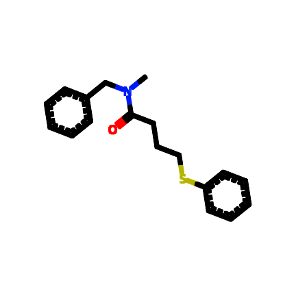 CN(Cc1ccccc1)C(=O)CCCSc1ccccc1